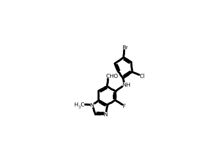 Cn1cnc2c(F)c(Nc3ccc(Br)cc3Cl)c(C=O)cc21